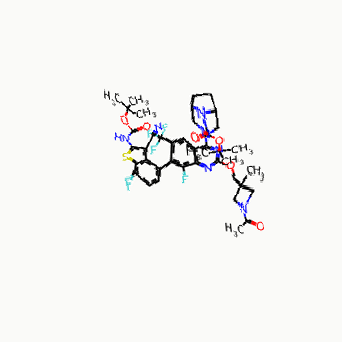 CC(=O)N1CC(C)(COc2nc(N3CC4CCC(C3)N4C(=O)OC(C)(C)C)c3cc(C(F)(F)F)c(-c4ccc(F)c5sc(NC(=O)OC(C)(C)C)c(C#N)c45)c(F)c3n2)C1